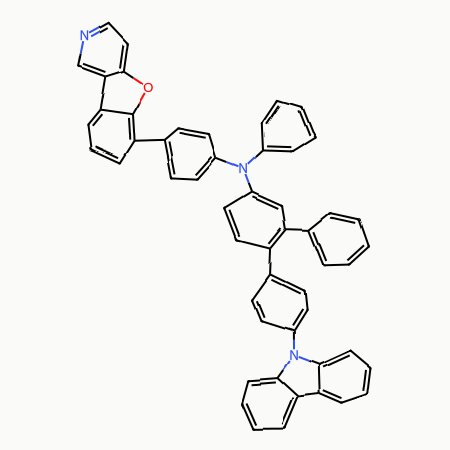 c1ccc(-c2cc(N(c3ccccc3)c3ccc(-c4cccc5c4oc4ccncc45)cc3)ccc2-c2ccc(-n3c4ccccc4c4ccccc43)cc2)cc1